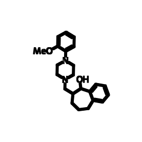 COc1ccccc1N1CCN(CC2CCCc3ccccc3C2O)CC1